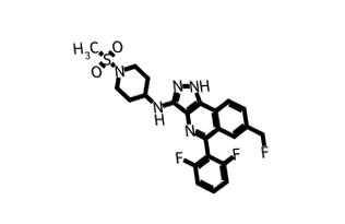 CS(=O)(=O)N1CCC(Nc2n[nH]c3c2nc(-c2c(F)cccc2F)c2cc(CF)ccc23)CC1